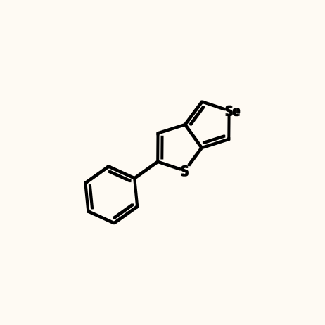 c1ccc(-c2cc3c[se]cc3s2)cc1